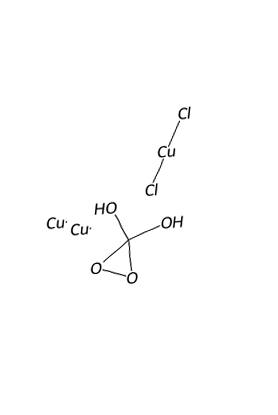 OC1(O)OO1.[Cl][Cu][Cl].[Cu].[Cu]